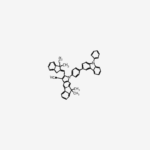 C#Cc1c(/C=C2\Cc3ccccc3C2(C)C)n(-c2ccc(-c3ccc4c(c3)c3ccccc3n4-c3ccccc3)cc2)c2cc3c(cc12)-c1ccccc1C3(C)C